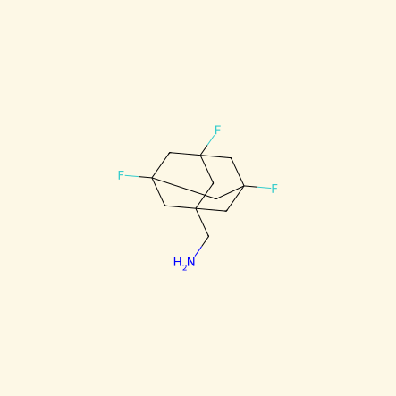 NCC12CC3(F)CC(F)(CC(F)(C3)C1)C2